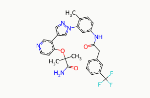 Cc1ccc(NC(=O)Cc2cccc(C(F)(F)F)c2)cc1-n1cc(-c2cnccc2OC(C)(C)C(N)=O)cn1